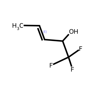 C/C=C/C(O)C(F)(F)F